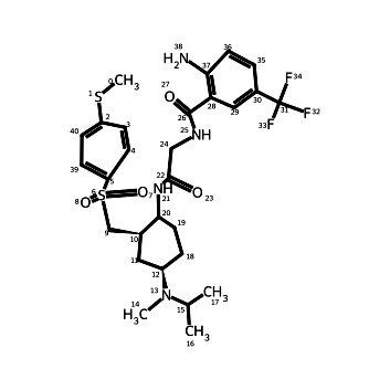 CSc1ccc(S(=O)(=O)C[C@@H]2C[C@H](N(C)C(C)C)CCC2NC(=O)CNC(=O)c2cc(C(F)(F)F)ccc2N)cc1